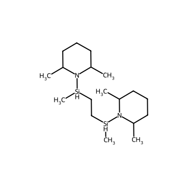 CC1CCCC(C)N1[SiH](C)CC[SiH](C)N1C(C)CCCC1C